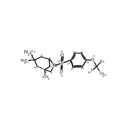 CC1(C)CC2CC(C)(CN2S(=O)(=O)c2ccc(OC(C)(F)F)cc2)C1